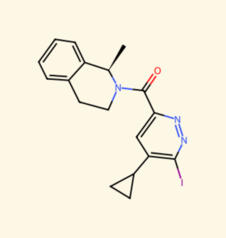 C[C@@H]1c2ccccc2CCN1C(=O)c1cc(C2CC2)c(I)nn1